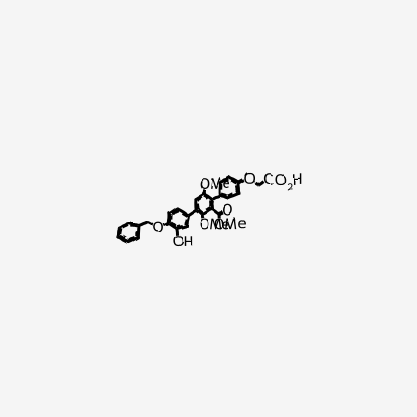 COC(=O)c1c(OC)c(-c2ccc(OCc3ccccc3)c(O)c2)cc(OC)c1-c1ccc(OCC(=O)O)cc1